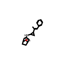 C/C(=C\c1ccccc1)C1CC1NC1CC2CCC(C1)C2N